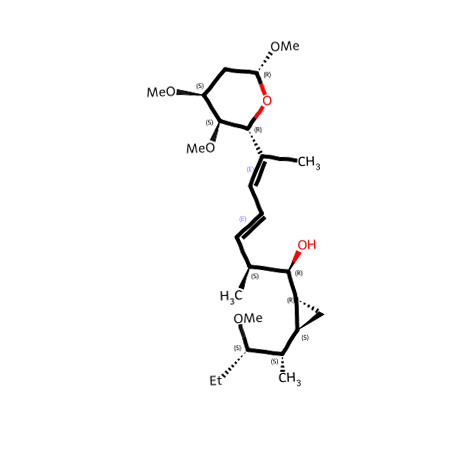 CC[C@H](OC)[C@@H](C)[C@@H]1C[C@H]1[C@H](O)[C@@H](C)/C=C/C=C(\C)[C@H]1O[C@@H](OC)C[C@H](OC)[C@@H]1OC